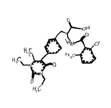 CCn1c(C)c(-c2ccc(C[C@H](NC(=O)c3c(C)cccc3Cl)C(=O)O)cc2)c(=O)n(CC)c1=O